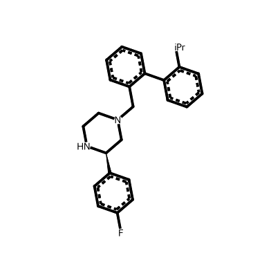 CC(C)c1ccccc1-c1ccccc1CN1CCN[C@H](c2ccc(F)cc2)C1